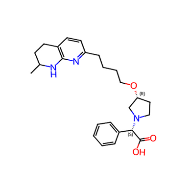 CC1CCc2ccc(CCCCO[C@@H]3CCN([C@H](C(=O)O)c4ccccc4)C3)nc2N1